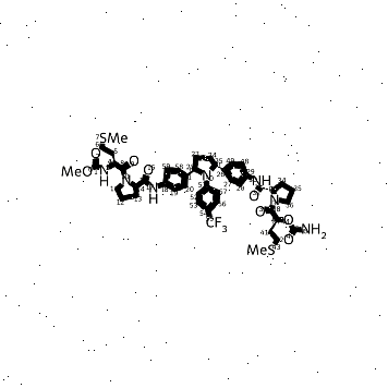 COC(=O)N[C@@H](CCSC)C(=O)N1CCCC1C(=O)Nc1ccc([C@H]2CC[C@H](c3ccc(NC(=O)[C@@H]4CCCN4C(=O)[C@H](CCSC)OC(N)=O)cc3)N2c2ccc(C(F)(F)F)cc2)cc1